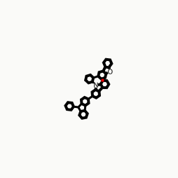 c1ccc(C2c3ccccc3-c3cc(-c4ccc5c6ccccc6n(-c6ccccc6-c6ccc7oc8ccccc8c7c6)c5c4)ccc32)cc1